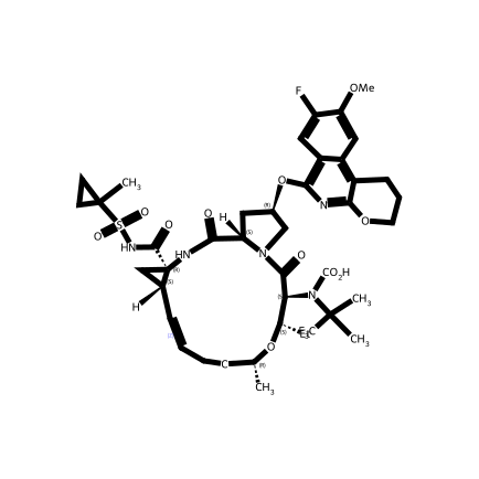 CC[C@@H]1O[C@H](C)CC/C=C\[C@@H]2C[C@@]2(C(=O)NS(=O)(=O)C2(C)CC2)NC(=O)[C@@H]2C[C@@H](Oc3nc4c(c5cc(OC)c(F)cc35)CCCO4)CN2C(=O)[C@H]1N(C(=O)O)C(C)(C)C(F)(F)F